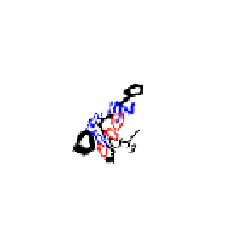 CC1(N2C(=O)C3C(c4nc(C5CCCC5)no4)N=CN3c3ccccc32)CCCO1